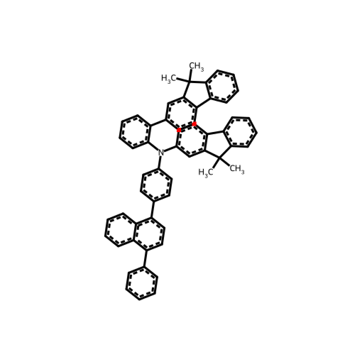 CC1(C)c2ccccc2-c2ccc(-c3ccccc3N(c3ccc(-c4ccc(-c5ccccc5)c5ccccc45)cc3)c3ccc4c(c3)C(C)(C)c3ccccc3-4)cc21